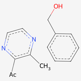 CC(=O)c1nccnc1C.OCc1ccccc1